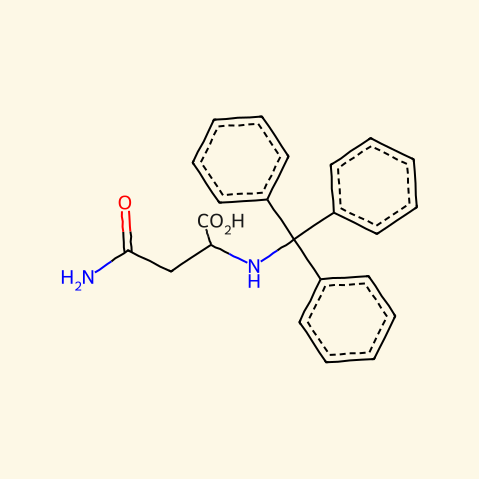 NC(=O)CC(NC(c1ccccc1)(c1ccccc1)c1ccccc1)C(=O)O